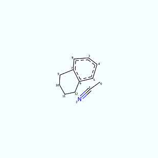 CC#N.c1ccc2c(c1)CCCC2